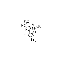 CC(C)(C)C(=O)Nc1c(SC(F)(F)F)c(C#N)nn1-c1c(Cl)cc(C(F)(F)F)cc1Cl